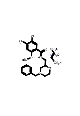 CCCCOc1cc(N)c(Cl)cc1C(=O)NCC1CN(Cc2ccccc2)CCO1.O.O=C(O)/C=C/C(=O)O